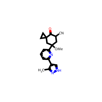 COC1(c2cccc(-c3c[nH]nc3C)n2)CC(C#N)C(=O)C2(CC2)C1